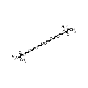 C=C(C)C(=O)OCCOCCOCCOOCCOCCOCCOC(=O)C(=C)C